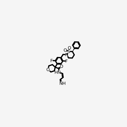 N=C/C=C\NC(=O)C1(c2cc(F)c(CN3CCC[C@H](c4ccccc4)S3(=O)=O)cc2F)CCOCC1